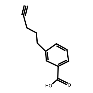 [C]#CCCCc1cccc(C(=O)O)c1